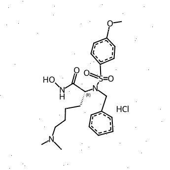 COc1ccc(S(=O)(=O)N(Cc2ccccc2)[C@H](CCCCN(C)C)C(=O)NO)cc1.Cl